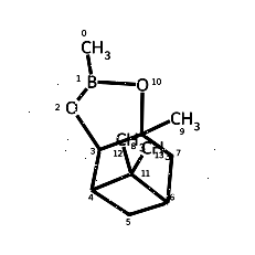 CB1OC2C3CC(CC2(C)O1)C3(C)C